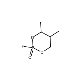 CC1COP(=O)(F)OC1C